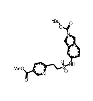 COC(=O)c1ccc(CCS(=O)(=O)Nc2ccc3cn(C(=O)OC(C)(C)C)cc3c2)nc1